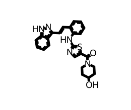 O=C(c1cnc(Nc2ccccc2C=Cc2n[nH]c3ccccc23)s1)N1CCC(O)CC1